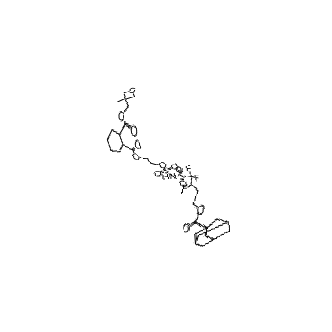 CC1(COC(=O)C2CCCCC2C(=O)OCCOS(=O)(=O)NS(=O)(=O)C(F)(F)C(F)CCOC(=O)C23CC4CC(CC(C4)C2)C3)COC1